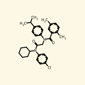 Cc1ccc(C)c(C(=O)N(CC(=O)N(c2ccc(Cl)cc2)C2CCCCC2)c2ccc(C(C)C)cc2)c1